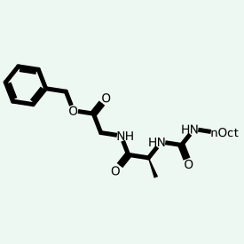 CCCCCCCCNC(=O)N[C@@H](C)C(=O)NCC(=O)OCc1ccccc1